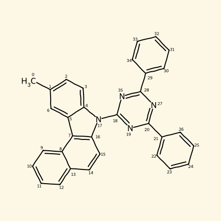 Cc1ccc2c(c1)c1c3ccccc3ccc1n2-c1nc(-c2ccccc2)nc(-c2ccccc2)n1